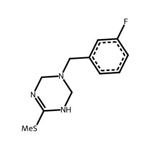 CSC1=NCN(Cc2cccc(F)c2)CN1